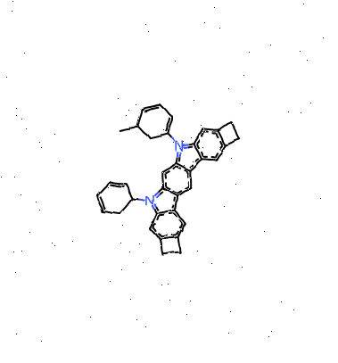 CC1C=CC=C(n2c3cc4c(cc3c3cc5c6cc7c(cc6n(C6C=CC=CC6)c5cc32)CC7)CC4)C1